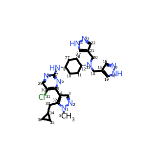 Cn1ncc(-c2nc(N[C@H]3CC[C@@H](N(Cc4cn[nH]c4)Cc4cn[nH]c4)CC3)ncc2Cl)c1CC1CC1